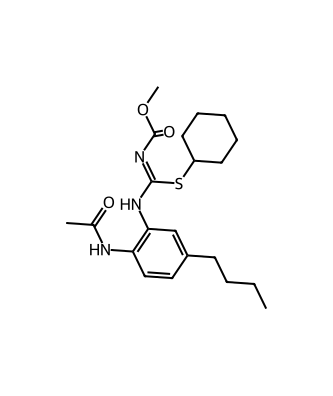 CCCCc1ccc(NC(C)=O)c(N/C(=N/C(=O)OC)SC2CCCCC2)c1